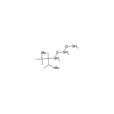 CCCCC(C)C(C)([SiH2]O[SiH2]O[SiH3])C(C)(C)C(C)(C)C